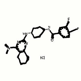 CN(C)c1nc(N[C@H]2CC[C@@H](NC(=O)c3ccc(F)c(F)c3)CC2)nc2c1CCCC2.Cl